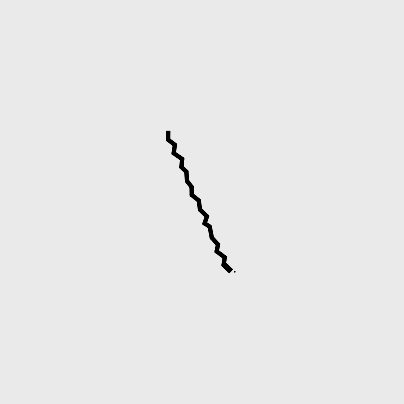 [CH]=CCCCCCCCCCCCCCCCCCCC